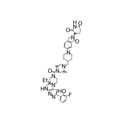 CC[C@]12CNc3nnc(-c4cccc(F)c4O)cc3N1CCN(C(=O)N1C[C@H](C)N(CC3CCN(c4ccc5c(c4)C(=O)N([C@@H]4CCC(=O)NC4=O)C5)CC3)C[C@H]1C)C2